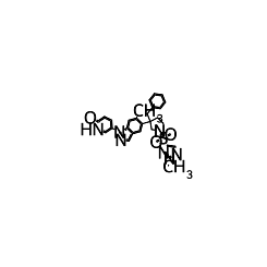 Cc1cc2c(cnn2-c2ccc(=O)[nH]c2)cc1C1(Cc2ccccc2)CCN(S(=O)(=O)c2cnn(C)n2)C1